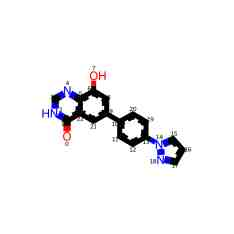 O=c1[nH]cnc2c(O)cc(-c3ccc(-n4cccn4)cc3)cc12